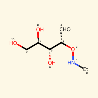 CCNO[C@@H](C=O)[C@H](O)[C@H](O)CO